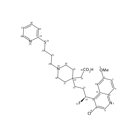 COc1ccc2ncc(Cl)c([C@@H](F)CCC3(CC(=O)O)CCN(CCCSc4ccccn4)CC3)c2c1